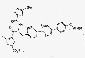 CCCCCCCOc1ccc(-c2cnc(-c3ccc(C[C@H](NC(=O)c4ccc(C(C)(C)C)s4)C(=O)N4CC(C(=O)O)CC4C)cc3)nc2)cc1